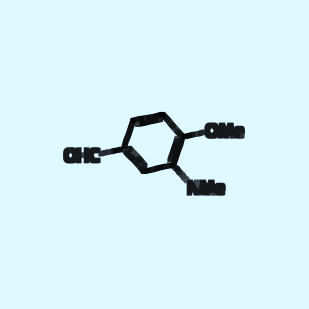 CNc1cc(C=O)ccc1OC